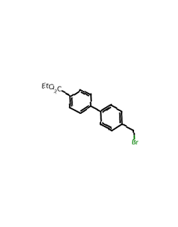 CCOC(=O)c1ccc(-c2ccc(CBr)cc2)cc1